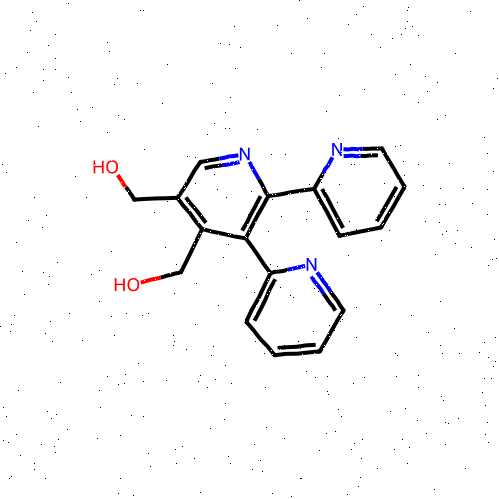 OCc1cnc(-c2ccccn2)c(-c2ccccn2)c1CO